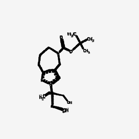 CC(C)(C)OC(=O)N1CCCc2nn(C(C)(CO)CO)cc2C1